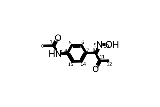 CC(=O)Nc1ccc(C(=NO)C(C)=O)cc1